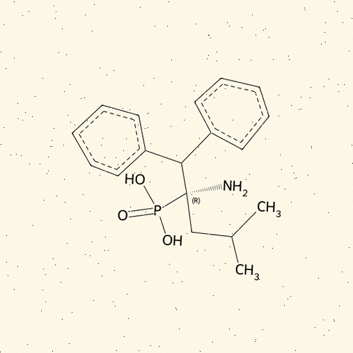 CC(C)C[C@](N)(C(c1ccccc1)c1ccccc1)P(=O)(O)O